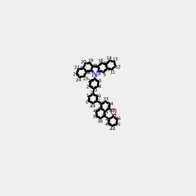 c1cc(-c2ccc(-n3c4cc5ccccc5cc4c4ccc5ccccc5c43)cc2)cc(-c2ccc3c4c(cccc24)-c2ccccc2O3)c1